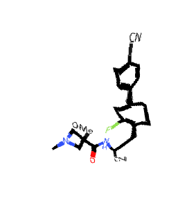 COC1(C(=O)NC(C#N)Cc2ccc(-c3ccc(C#N)cc3)cc2F)CN(C)C1